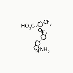 Nc1nccc2ccc(-c3ccc4c(c3)[C@H](Oc3cc(C(F)(F)F)ccc3CC(=O)O)CC4)cc12